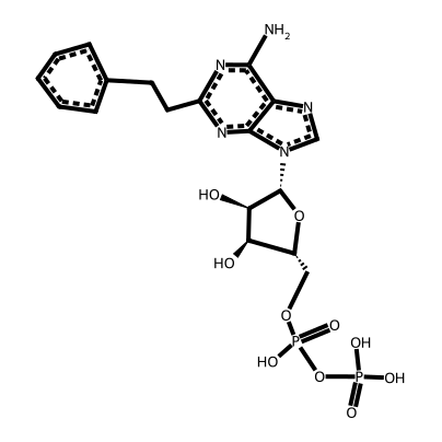 Nc1nc(CCc2ccccc2)nc2c1ncn2[C@@H]1O[C@H](COP(=O)(O)OP(=O)(O)O)[C@@H](O)[C@H]1O